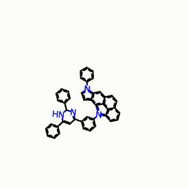 C1=C(c2ccccc2)NC(c2ccccc2)N=C1c1cccc(-n2c3cccc4ccc5cc6c(ccn6-c6ccccc6)c2c5c43)c1